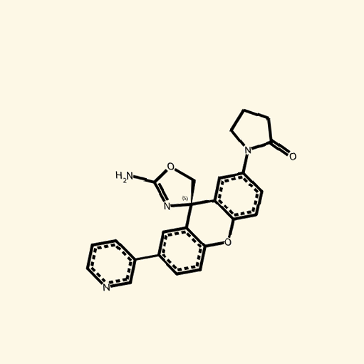 NC1=N[C@@]2(CO1)c1cc(-c3cccnc3)ccc1Oc1ccc(N3CCCC3=O)cc12